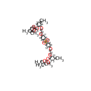 Cc1ccc(OC(=O)OC(C)(C)C)c(OCCOc2ccc(S(=O)(=O)c3ccc(OCCOc4cc(C)ccc4OC(=O)OC(C)(C)C)cc3)cc2)c1